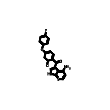 Nc1ccnc2[nH]cc(C(=O)C3=CC=C(Oc4ccc(F)cc4)CC3Cl)c12